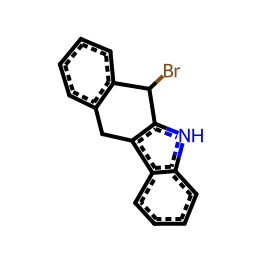 BrC1c2ccccc2Cc2c1[nH]c1ccccc21